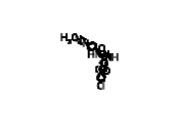 CN1CCN(c2ccc(C(=O)Nc3n[nH]c4c3CN(S(=O)(=O)c3ccc(Cl)cc3)C4)cc2)CC1